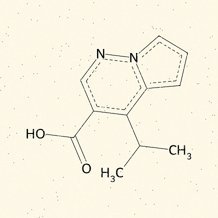 CC(C)c1c(C(=O)O)cnn2cccc12